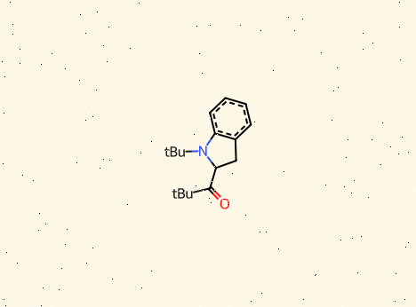 CC(C)(C)C(=O)C1Cc2ccccc2N1C(C)(C)C